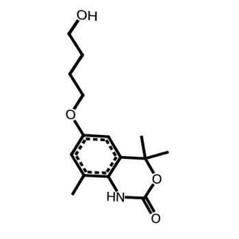 Cc1cc(OCCCCO)cc2c1NC(=O)OC2(C)C